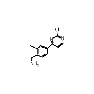 Cc1cc(-c2ccnc(Cl)n2)ccc1CN